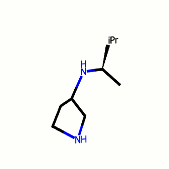 CC(C)[C@@H](C)NC1CCNC1